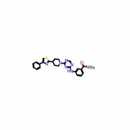 CNC(=O)c1cccc(Nc2ncnc(N3CCC(c4nc(-c5ccccc5)cs4)CC3)n2)c1